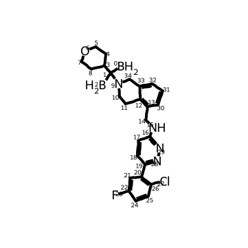 BC(B)(C1CCOCC1)N1CCc2c(CNc3ccc(-c4cc(F)ccc4Cl)nn3)cccc2C1